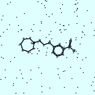 O=[N+]([O-])c1cccc(OCCN2CCCCCC2)c1